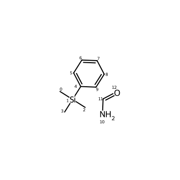 C[Si](C)(C)c1ccccc1.NC=O